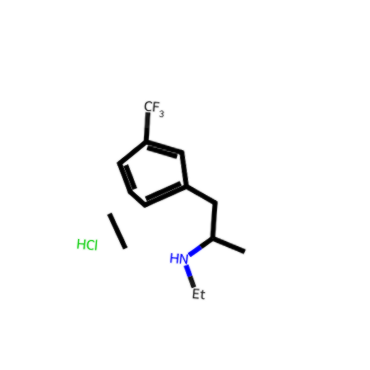 CC.CCNC(C)Cc1cccc(C(F)(F)F)c1.Cl